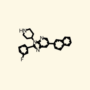 Fc1cccc(-c2nc3cc(-c4ccc5ccccc5c4)cnc3n2C2CCNCC2)c1